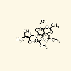 CC(=O)O[C@@H]1[C@@H](OC(C)=O)[C@H](NCC(O)=C(C)C)O[C@H](CO)[C@H]1OC(C)=O